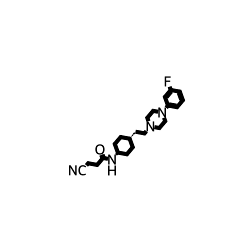 N#CCCC(=O)N[C@H]1CC[C@H](CCN2CCN(c3cccc(F)c3)CC2)CC1